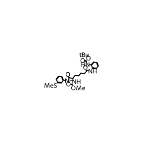 COC(=O)NC(CCCCC(=O)Nc1ccccc1NC(=O)OC(C)(C)C)C(=O)Nc1cccc(SC)c1